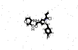 C=C/C(Cl)=C1\CC(C(=O)N[C@H]2CCOCC2O)=CN1Cc1ccc(F)cc1